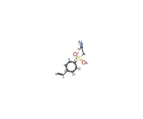 C=Cc1ccc(S(=O)(=O)CC#N)cc1